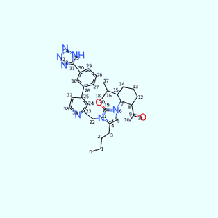 CCCCc1cn(C2C(C(C)=O)CCCC2C(C)C)c(=O)n1Cc1cc(-c2cccc(-c3nnn[nH]3)c2)ccn1